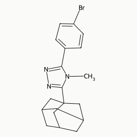 Cn1c(-c2ccc(Br)cc2)nnc1C12CC3CC(CC(C3)C1)C2